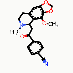 COc1c2c(cc3c1C(CC(=O)c1ccc(C#N)cc1)N(C)CC3)OCO2